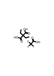 CCC(CC)(C(=O)O)C(=O)O.O=C(O)C(F)(F)F